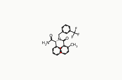 Cc1ccccc1C(=O)N(Cc1cccc(C(F)(F)F)c1)[C@@H](C(N)=O)c1ccccc1